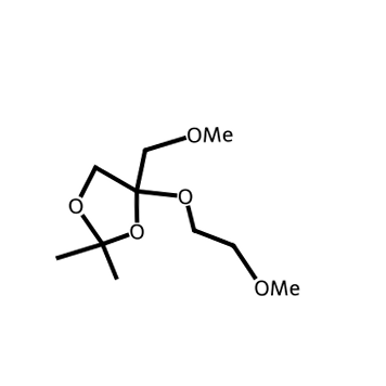 COCCOC1(COC)COC(C)(C)O1